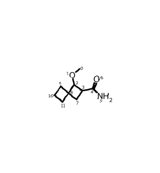 COC1C(C(N)=O)CC12CCC2